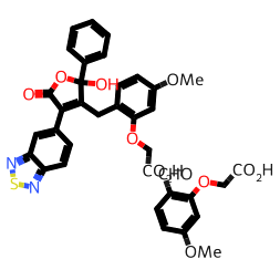 COc1ccc(C=O)c(OCC(=O)O)c1.COc1ccc(CC2=C(c3ccc4nsnc4c3)C(=O)OC2(O)c2ccccc2)c(OCC(=O)O)c1